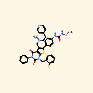 CONC(=O)Nc1ccc(-c2sc3c(c2CN(C)CCc2ccncc2)c(=O)n(-c2ccccc2)c(=O)n3Cc2c(F)cccc2F)cc1